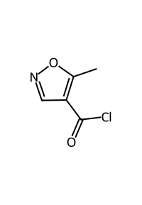 Cc1oncc1C(=O)Cl